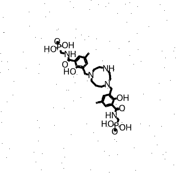 Cc1cc(CN2CCCN(Cc3cc(C)cc(C(=O)NCP(=O)(O)O)c3O)CCNCC2)c(O)c(C(=O)NCP(=O)(O)O)c1